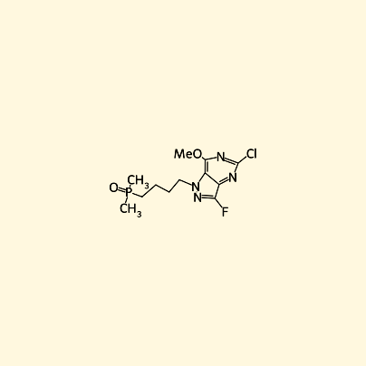 COc1nc(Cl)nc2c(F)nn(CCCCP(C)(C)=O)c12